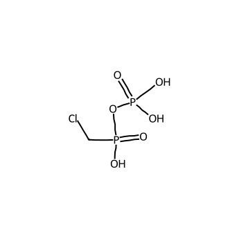 O=P(O)(O)OP(=O)(O)CCl